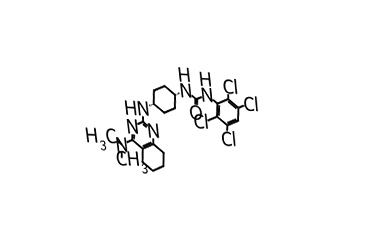 CN(C)c1nc(N[C@H]2CC[C@@H](NC(=O)Nc3c(Cl)c(Cl)cc(Cl)c3Cl)CC2)nc2c1CCCC2